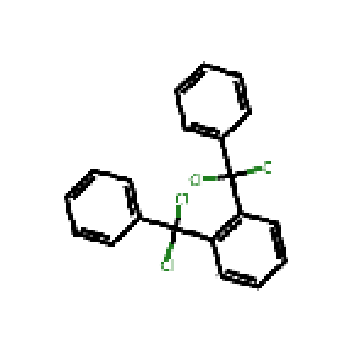 ClC(Cl)(c1ccccc1)c1[c]cccc1C(Cl)(Cl)c1ccccc1